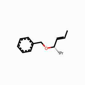 CC=C[C@@H](OCc1ccccc1)C(C)C